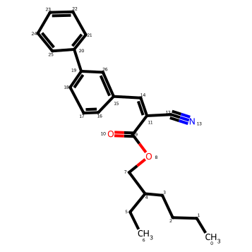 CCCCC(CC)COC(=O)C(C#N)=Cc1cccc(-c2ccccc2)c1